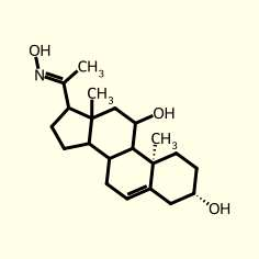 C/C(=N\O)C1CCC2C3CC=C4C[C@@H](O)CC[C@]4(C)C3C(O)CC12C